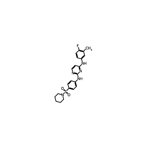 Cc1cc(Nc2ccnc(Nc3ccc(S(=O)(=O)N4CCCCC4)cc3)n2)ccc1F